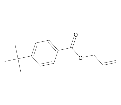 C=CCOC(=O)c1ccc(C(C)(C)C)cc1